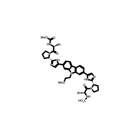 COCCn1c2cc(-c3cnc([C@@H]4CCCN4C(=O)[C@@H](NC(=O)O)C(C)C)[nH]3)ccc2c2ccc(-c3cnc([C@@H]4CCCN4C(=O)[C@@H](NC(=O)OC)C(C)C)[nH]3)cc21